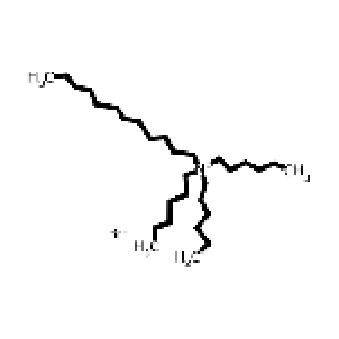 CCCCCCCCCCCC[N+](CCCCCC)(CCCCCC)CCCCCC.[Br-]